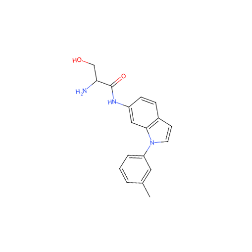 Cc1cccc(-n2ccc3ccc(NC(=O)C(N)CO)cc32)c1